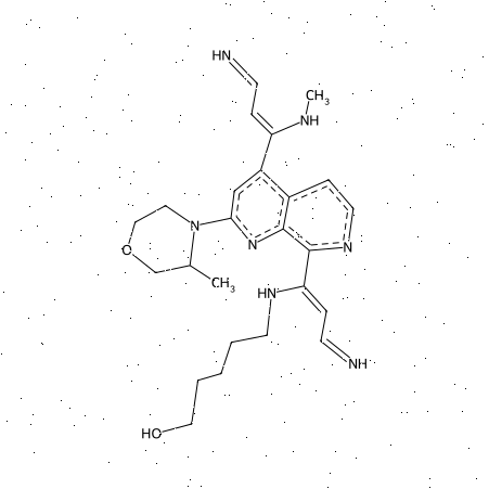 CN/C(=C\C=N)c1cc(N2CCOCC2C)nc2c(/C(=C/C=N)NCCCCCO)nccc12